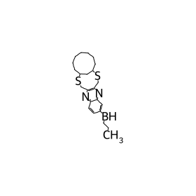 CCCBc1ccc2nc3c(nc2c1)CSC1CCCCCCCC(C1)SC3